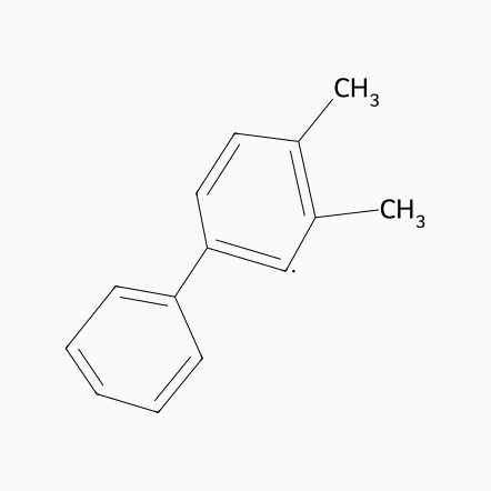 Cc1[c]c(-c2ccccc2)ccc1C